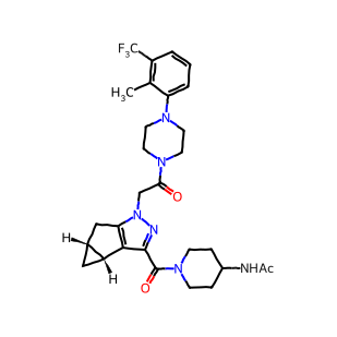 CC(=O)NC1CCN(C(=O)c2nn(CC(=O)N3CCN(c4cccc(C(F)(F)F)c4C)CC3)c3c2[C@@H]2C[C@@H]2C3)CC1